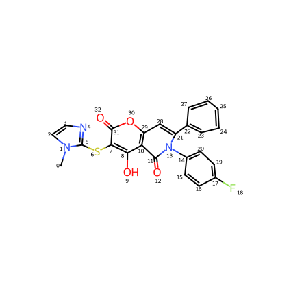 Cn1ccnc1Sc1c(O)c2c(=O)n(-c3ccc(F)cc3)c(-c3ccccc3)cc2oc1=O